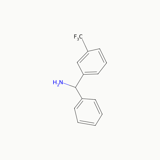 NC(c1ccccc1)c1cccc(C(F)(F)F)c1